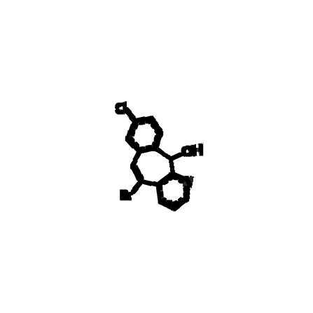 OC1c2ccc(Cl)cc2C=C(Br)c2cccnc21